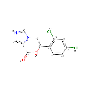 O=COC(Cn1ccnc1)c1ccc(Cl)cc1Cl